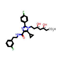 O=C(O)C[C@H](O)C[C@H](O)CCn1c(-c2ccc(F)cc2)nc(C(=O)NCCc2cccc(F)c2)c1C1CC1